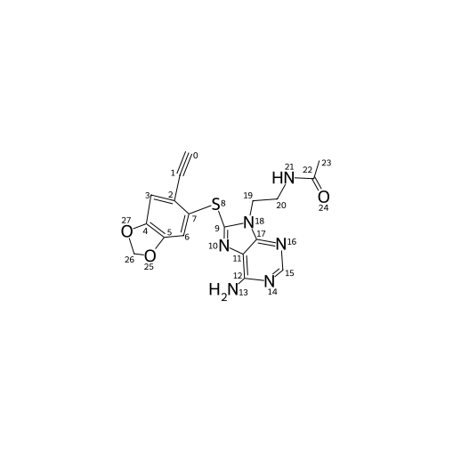 C#Cc1cc2c(cc1Sc1nc3c(N)ncnc3n1CCNC(C)=O)OCO2